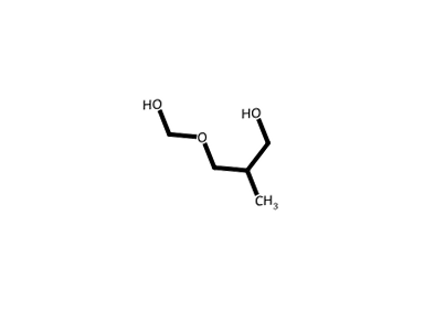 CC(CO)COCO